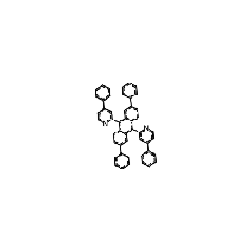 c1ccc(-c2ccnc(-c3c4ccc(-c5ccccc5)cc4c(-c4cc(-c5ccccc5)ccn4)c4ccc(-c5ccccc5)cc34)c2)cc1